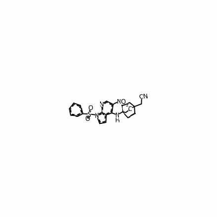 N#CCC12CCC(Nc3c([N+](=O)[O-])cnc4c3ccn4S(=O)(=O)c3ccccc3)(CC1)CC2